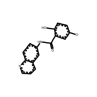 O=C(Nc1ccc2ncccc2c1)c1cc(Cl)ccc1O